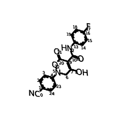 N#Cc1ccc(N2CC(O)=C(C(=O)Nc3ccc(F)cc3)C(=O)O2)cc1